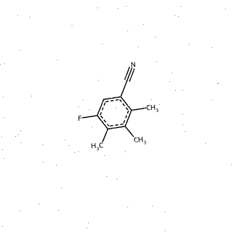 Cc1c(F)cc(C#N)c(C)c1C